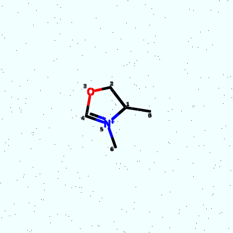 CC1COC=[N+]1C